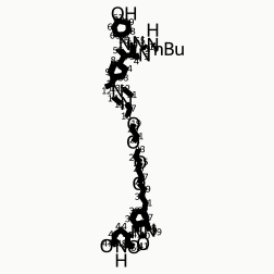 CCCCNc1ncc2c(-c3ccc(C(C)N4CCN(CCOCCOCCOCCOCCCc5ccc6c(c5)n(C)c(=O)n6C5CCC(=O)NC5=O)CC4)cc3)cn([C@H]3CC[C@H](O)CC3)c2n1